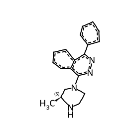 C[C@H]1CN(c2nnc(-c3ccccc3)c3ccccc23)CCN1